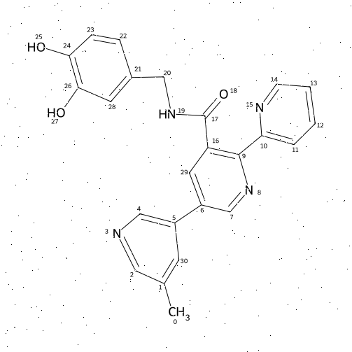 Cc1cncc(-c2cnc(-c3ccccn3)c(C(=O)NCc3ccc(O)c(O)c3)c2)c1